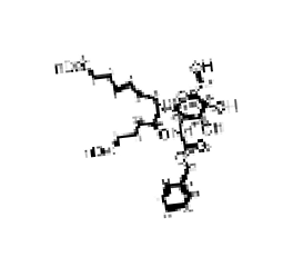 CCCCCCCCCCCCCCCCN(C(=O)CCCCCCCCCCCCC)[C@@H]1O[C@H](CO)[C@@H](O)[C@H](O)[C@H]1NC(=O)OCc1ccccc1